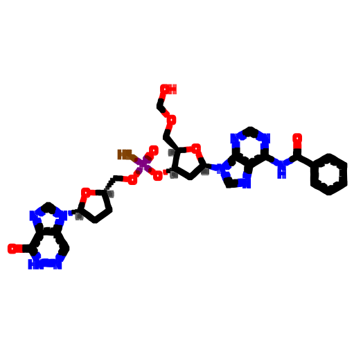 O=C(Nc1ncnc2c1ncn2[C@H]1C[C@H](OP(=O)(S)OC[C@@H]2CC[C@H](n3cnc4c(=O)[nH]ncc43)O2)[C@@H](COCO)O1)c1ccccc1